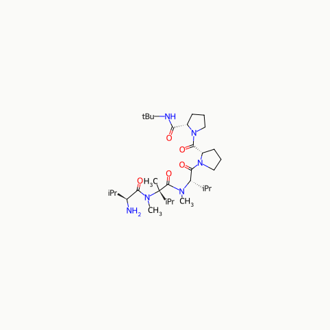 CC(C)[C@H](N)C(=O)N(C)[C@](C)(C(=O)N(C)[C@H](C(=O)N1CCC[C@H]1C(=O)N1CCC[C@H]1C(=O)NC(C)(C)C)C(C)C)C(C)C